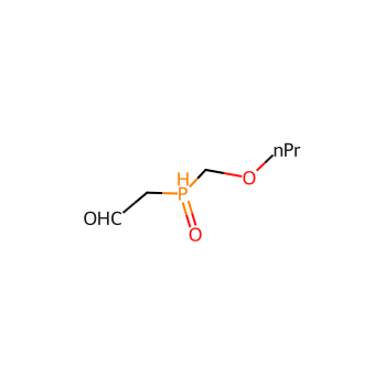 CCCOC[PH](=O)CC=O